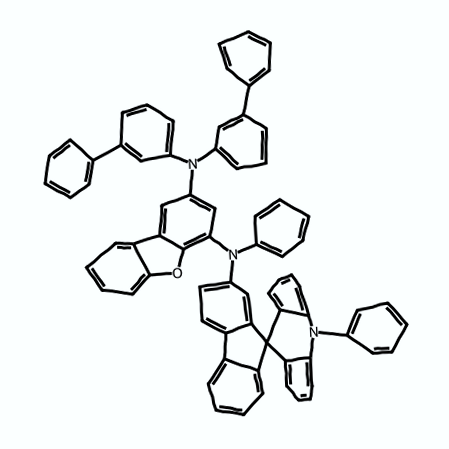 c1ccc(-c2cccc(N(c3cccc(-c4ccccc4)c3)c3cc(N(c4ccccc4)c4ccc5c(c4)C4(c6ccccc6-5)c5ccccc5N(c5ccccc5)c5ccccc54)c4oc5ccccc5c4c3)c2)cc1